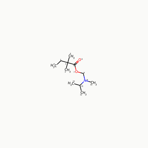 CCC(C)(C)C(=O)OCN(C)C(C)C